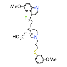 COc1cccc(SCCCN2CC[C@@H](CC[C@H](F)c3ccnc4ccc(OC)cc34)[C@@H](CC(=O)O)C2)c1